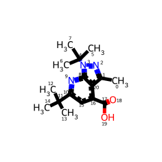 Cc1nn(C(C)(C)C)c2nc(C(C)(C)C)cc(C(=O)O)c12